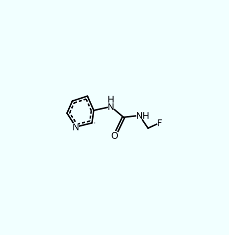 O=C(NCF)Nc1[c]nccc1